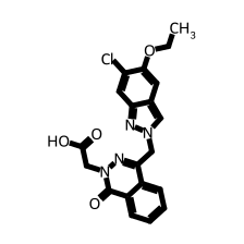 CCOc1cc2cn(Cc3nn(CC(=O)O)c(=O)c4ccccc34)nc2cc1Cl